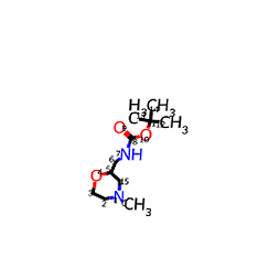 CN1CCOC(CNC(=O)OC(C)(C)C)C1